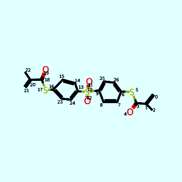 C=C(C)C(=O)Sc1ccc(S(=O)(=O)c2ccc(SC(=O)C(=C)C)cc2)cc1